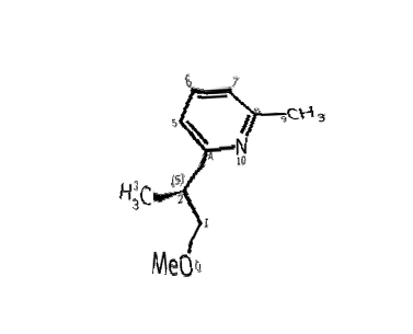 COC[C@@H](C)c1cccc(C)n1